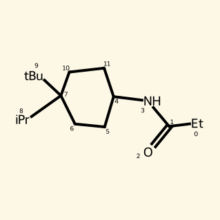 CCC(=O)NC1CCC(C(C)C)(C(C)(C)C)CC1